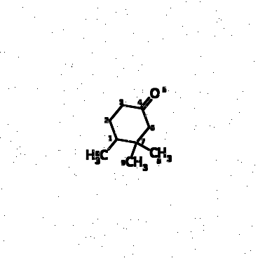 CC1CCC(=O)CC1(C)C